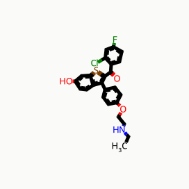 CCNCCOc1ccc(-c2c(C(=O)c3ccc(F)cc3Cl)sc3cc(O)ccc23)cc1